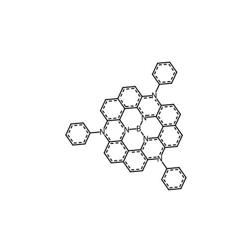 c1ccc(-n2c3ccc4ccc5c6c4c3n3c4c7c(ccc42)ccc2c7n4c7c8c(ccc(c8n6B34)n5-c3ccccc3)ccc7n2-c2ccccc2)cc1